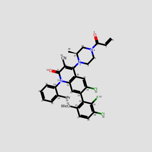 C=CC(=O)N1CCN(c2c(C#N)c(=O)n(-c3ccccc3C(C)C)c3cc(-c4c(OC)ccc(Cl)c4F)c(Cl)cc23)[C@@H](C)C1